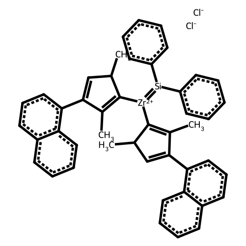 CC1=[C]([Zr+2]([C]2=C(C)C(c3cccc4ccccc34)=CC2C)=[Si](c2ccccc2)c2ccccc2)C(C)C=C1c1cccc2ccccc12.[Cl-].[Cl-]